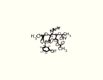 CC(=O)OCC1O[C@H](Sc2cccc(O)c2)C(OC(C)=O)C(N=[N+]=[N-])[C@H]1OC(C)O